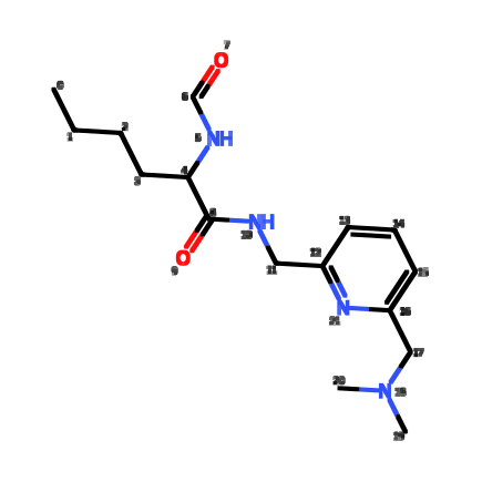 CCCCC(NC=O)C(=O)NCc1cccc(CN(C)C)n1